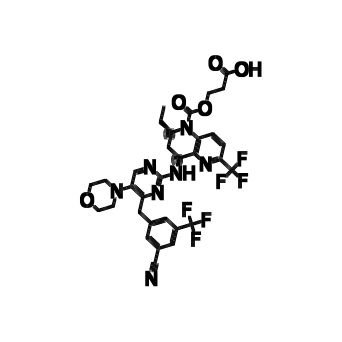 CC[C@@H]1C[C@H](Nc2ncc(N3CCOCC3)c(Cc3cc(C#N)cc(C(F)(F)F)c3)n2)c2nc(C(F)(F)F)ccc2N1C(=O)OCCC(=O)O